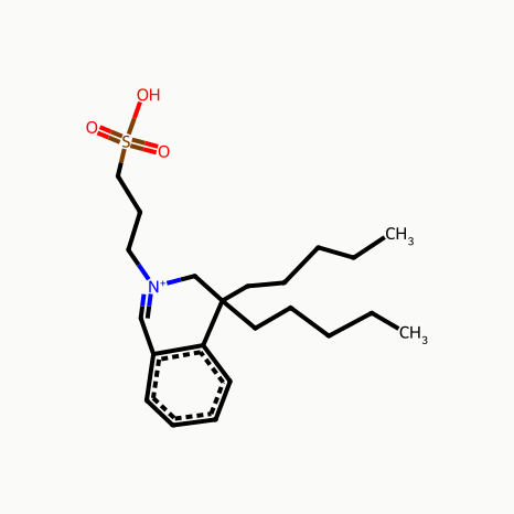 CCCCCC1(CCCCC)C[N+](CCCS(=O)(=O)O)=Cc2ccccc21